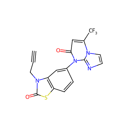 C#CCn1c(=O)sc2ccc(-n3c(=O)cc(C(F)(F)F)n4ccnc34)cc21